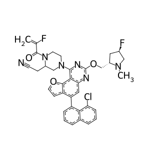 C=C(F)C(=O)N1CCN(c2nc(OC[C@@H]3C[C@@H](F)CN3C)nc3cc(-c4cccc5cccc(Cl)c45)c4ccoc4c23)CC1CC#N